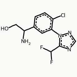 NC(CO)c1ccc(Cl)c(-n2ncnc2C(F)F)c1